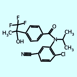 CC(C)N(C(=O)c1ccc(C(C)(O)C(F)(F)F)cc1)c1cc(C#N)ccc1Cl